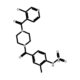 Cc1cc(C(=O)N2CCN(C(=O)c3ccncc3Cl)CC2)ccc1N[SH](=O)=O